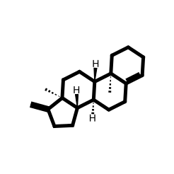 C=C1CC[C@H]2[C@@H]3CCC4=CCCC[C@]4(C)[C@H]3CC[C@]12C